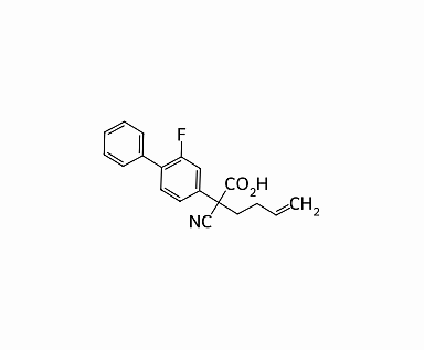 C=CCCC(C#N)(C(=O)O)c1ccc(-c2ccccc2)c(F)c1